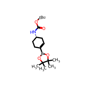 CC(C)(C)OC(=O)N[C@@H]1CC=C(B2OC(C)(C)C(C)(C)O2)CC1